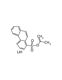 C=C(C)OS(=O)(=O)c1cccc2c1ccc1ccccc12.[LiH]